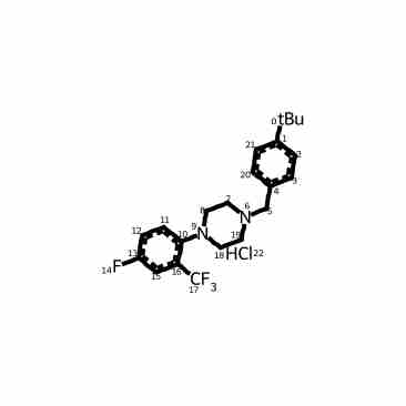 CC(C)(C)c1ccc(CN2CCN(c3ccc(F)cc3C(F)(F)F)CC2)cc1.Cl